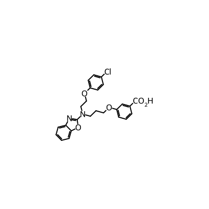 O=C(O)c1cccc(OCCCN(CCOc2ccc(Cl)cc2)c2nc3ccccc3o2)c1